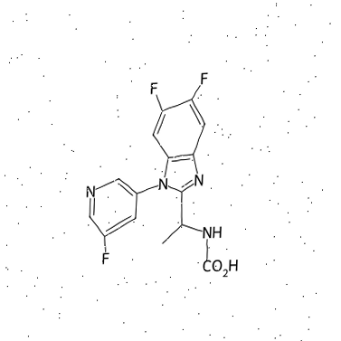 CC(NC(=O)O)c1nc2cc(F)c(F)cc2n1-c1cncc(F)c1